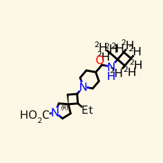 [2H]C([2H])([2H])C1(NC(=O)C2CCN(C3C[C@]4(CCN(C(=O)O)C4)C3CC)CC2)C([2H])([2H])C([2H])([2H])C1([2H])[2H]